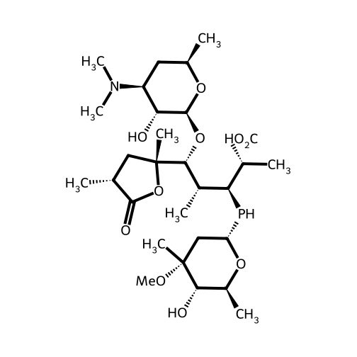 CO[C@]1(C)C[C@H](P[C@@H]([C@H](C)[C@@H](O[C@@H]2O[C@H](C)C[C@H](N(C)C)[C@H]2O)[C@@]2(C)C[C@@H](C)C(=O)O2)[C@@H](C)C(=O)O)O[C@@H](C)[C@@H]1O